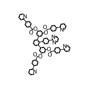 O=C(Oc1cc(OC(=O)c2ccc(-c3ccccn3)cc2)cc(-c2cccc(-c3cc(OC(=O)c4ccc(-c5ccccn5)cc4)cc(OC(=O)c4ccc(-c5ccccn5)cc4)c3)c2-c2ccc(-c3ncccn3)cc2)c1)c1ccc(-c2ccccn2)cc1